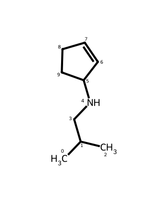 CC(C)CNC1C=CCC1